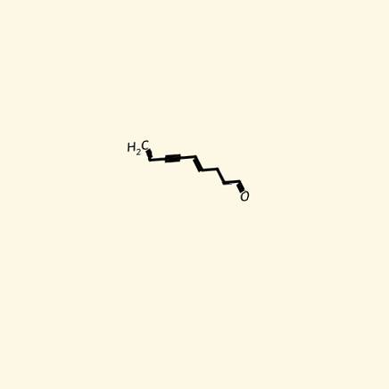 C=CC#C/C=C/CCC=O